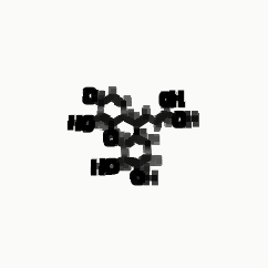 O=C1C=CC2C(=CC=C(O)O)c3ccc(O)c(O)c3OC2=C1O